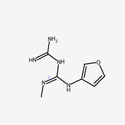 C/N=C(/NC(=N)N)Nc1ccoc1